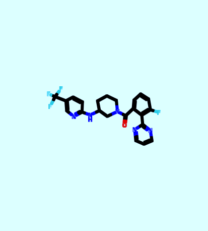 O=C(c1cccc(F)c1-c1ncccn1)N1CCCC(Nc2ccc(C(F)(F)F)cn2)C1